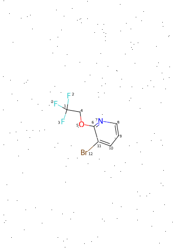 FC(F)(F)COc1ncccc1Br